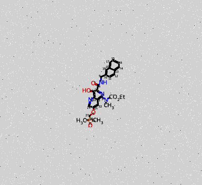 CCOC(=O)N(C)c1nc(C(=O)NCc2ccc3ccccc3c2)c(O)c2ncc(OCP(C)(C)=O)cc12